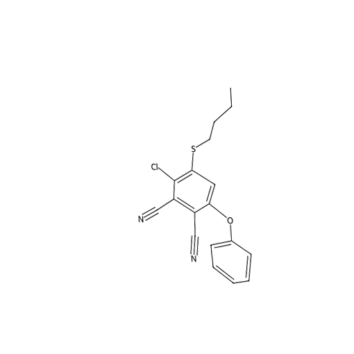 CCCCSc1cc(Oc2ccccc2)c(C#N)c(C#N)c1Cl